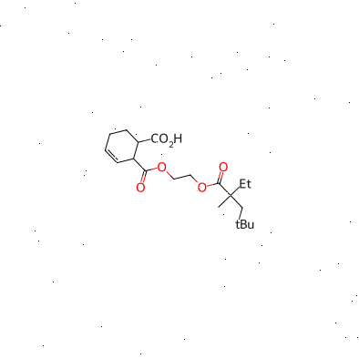 CCC(C)(CC(C)(C)C)C(=O)OCCOC(=O)C1C=CCCC1C(=O)O